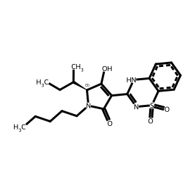 CCCCCN1C(=O)C(C2=NS(=O)(=O)c3ccccc3N2)=C(O)[C@@H]1C(C)CC